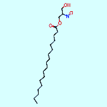 CCCCCCCCCCCCCCCCCC(=O)OCC(CO)N=O